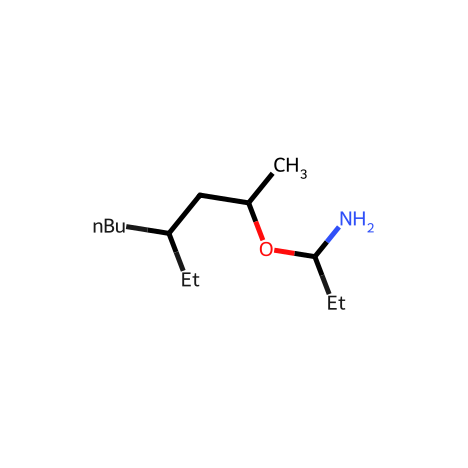 CCCCC(CC)CC(C)OC(N)CC